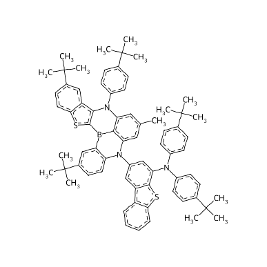 Cc1cc2c3c(c1)N(c1ccc(C(C)(C)C)cc1)c1c(sc4ccc(C(C)(C)C)cc14)B3c1cc(C(C)(C)C)ccc1N2c1cc(N(c2ccc(C(C)(C)C)cc2)c2ccc(C(C)(C)C)cc2)c2sc3ccccc3c2c1